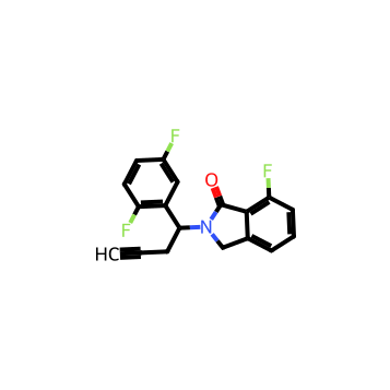 C#CCC(c1cc(F)ccc1F)N1Cc2cccc(F)c2C1=O